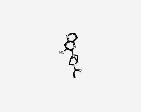 C=CC(=O)N1CC2CC1CN2c1nc2cccnc2cc1C#N